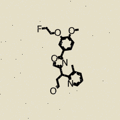 COc1ccc(-c2nc(C(CC=O)c3ncccc3C)co2)cc1OCCF